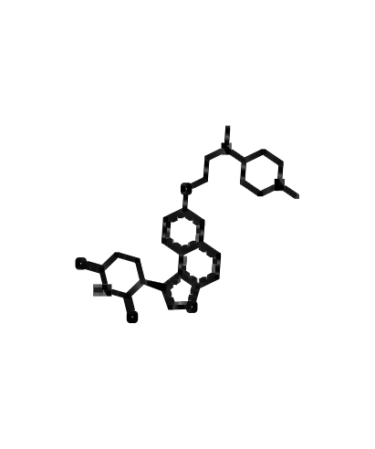 CN1CCC(N(C)CCOc2ccc3c(ccc4occ([C@@H]5CCC(=O)NC5=O)c43)c2)CC1